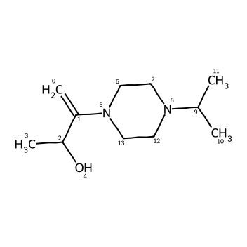 C=C(C(C)O)N1CCN(C(C)C)CC1